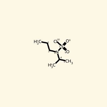 CCCN(C(C)C)S(=O)(=O)Cl